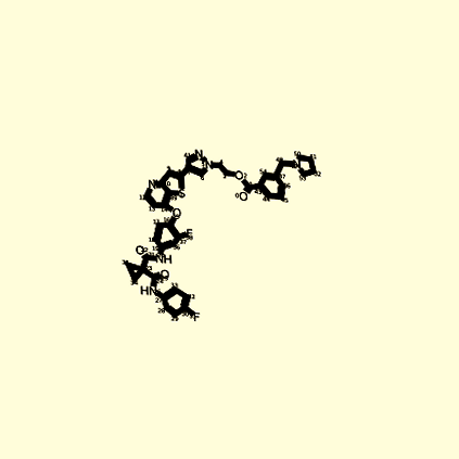 O=C(OCCn1cc(-c2cc3nccc(Oc4ccc(NC(=O)C5(C(=O)Nc6ccc(F)cc6)CC5)cc4F)c3s2)cn1)c1cccc(CN2CCCC2)c1